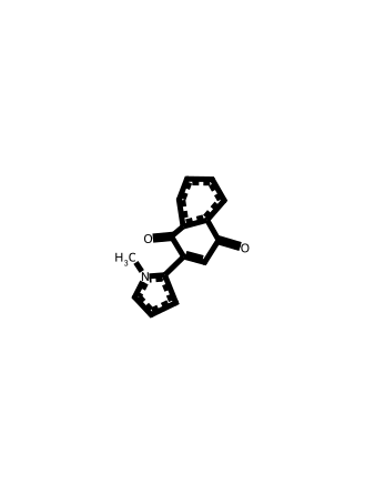 Cn1cccc1C1=CC(=O)c2ccccc2C1=O